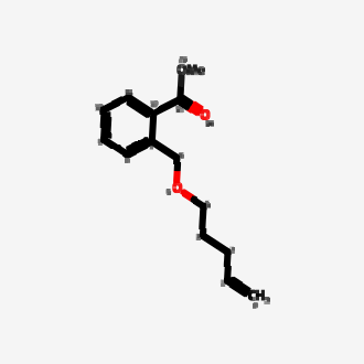 C=CCCCOCc1ccccc1C(=O)OC